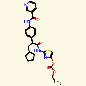 CCOC(=O)Oc1csc(NC(=O)C(CC2CCCC2)c2ccc(NC(=O)c3cccnc3)cc2)n1